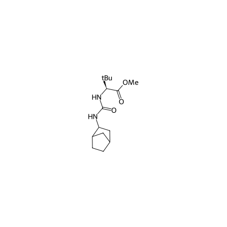 COC(=O)[C@@H](NC(=O)NC1CC2CCC1C2)C(C)(C)C